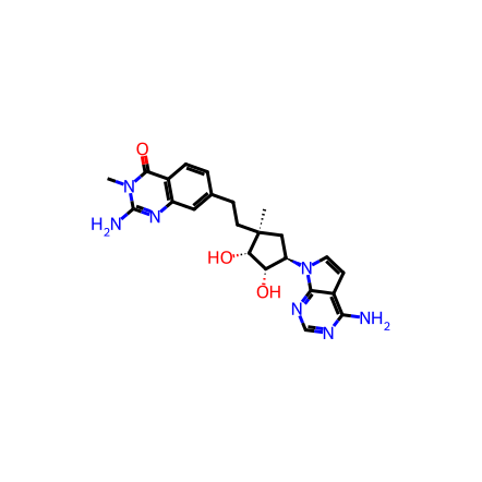 Cn1c(N)nc2cc(CC[C@@]3(C)C[C@@H](n4ccc5c(N)ncnc54)[C@H](O)[C@@H]3O)ccc2c1=O